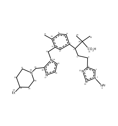 CCCn1cc(CCC(c2ccc(C)c(Cn3ccnc3CN3CCC(CC)CC3)c2)C(C)(C)C(=O)O)nn1